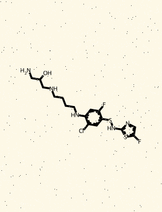 NCC(O)CNCCCCNc1cc(F)c(SNc2ncc(F)s2)cc1Cl